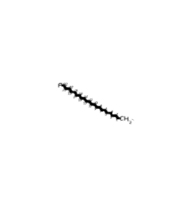 [CH2]CCCCCCCCCCCCCCCCCCCCCCF